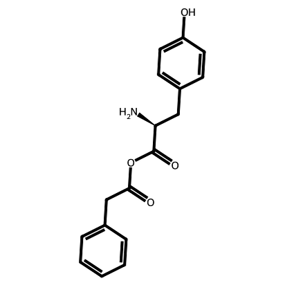 N[C@@H](Cc1ccc(O)cc1)C(=O)OC(=O)Cc1ccccc1